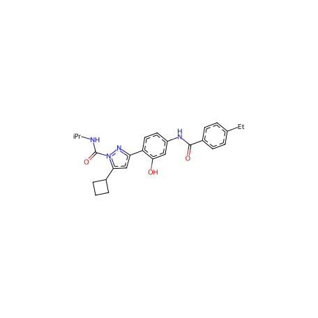 CCc1ccc(C(=O)Nc2ccc(-c3cc(C4CCC4)n(C(=O)NC(C)C)n3)c(O)c2)cc1